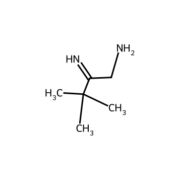 CC(C)(C)C(=N)CN